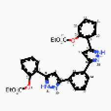 CCOC(=O)Oc1ccccc1-c1cc(-c2cccc(-c3cc(-c4ccccc4OC(=O)OCC)[nH]n3)c2)n[nH]1